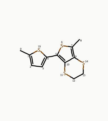 Cc1ccc(-c2sc(C)c3c2SCCS3)s1